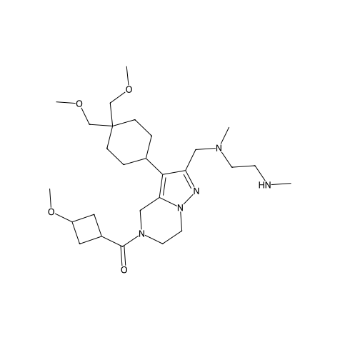 CNCCN(C)Cc1nn2c(c1C1CCC(COC)(COC)CC1)CN(C(=O)C1CC(OC)C1)CC2